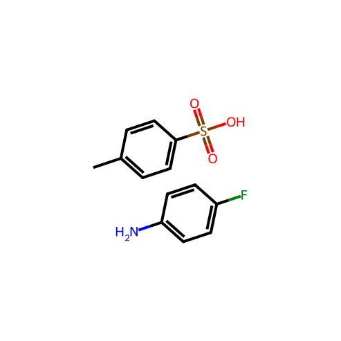 Cc1ccc(S(=O)(=O)O)cc1.Nc1ccc(F)cc1